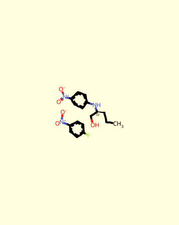 CCC[C@@H](CO)Nc1ccc([N+](=O)[O-])cc1.O=[N+]([O-])c1ccc(F)cc1